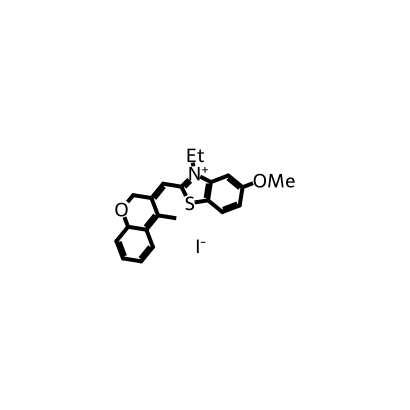 CC[n+]1c(C=C2COC3C=CC=CC3=C2C)sc2ccc(OC)cc21.[I-]